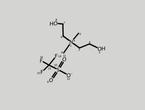 C[N+](C)(CCO)CCO.O=S(=O)([O-])C(F)(F)F